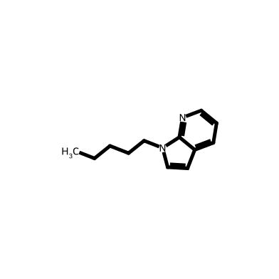 CCCCCn1ccc2cccnc21